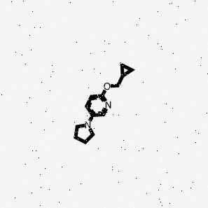 c1cc(OCC2CC2)ncc1N1CCCC1